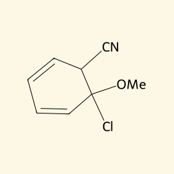 COC1(Cl)C=CC=CC1C#N